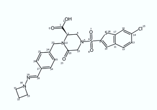 O=C(O)[C@H]1CN(S(=O)(=O)c2cc3ccc(Cl)cc3s2)CC(=O)N1Cc1ccc(C=NN2CCC2)cc1